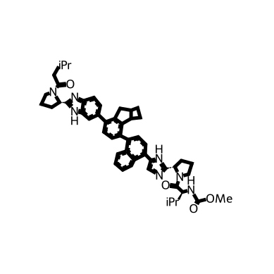 COC(=O)N[C@H](C(=O)N1CCC[C@H]1c1ncc(-c2ccc(-c3ccc(-c4ccc5nc([C@@H]6CCCN6C(=O)CC(C)C)[nH]c5c4)c4c3C3CCC3C4)c3ccccc23)[nH]1)C(C)C